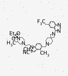 CCS(=O)(=O)N1CCN([C@@H](C)Cn2c(C#N)cc3c(C)c(CN4CCC5(CC4)CN(c4ncnc6ccc(CC(F)(F)F)cc46)C5)ccc32)C[C@H]1C